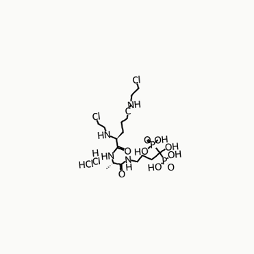 C[C@H](NC(=O)[C@H](CCCCNCCCl)NCCCl)C(=O)NCCCC(O)(P(=O)(O)O)P(=O)(O)O.Cl.Cl